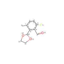 Cc1ccc(F)c(C=O)c1C1OCCO1